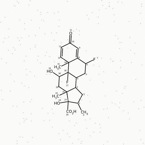 CC1CC2C3CC(F)C4=CC(=O)C=CC4(C)C3(F)C(O)CC2(C)C1(O)C(=O)O